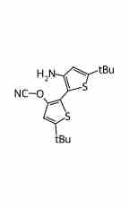 CC(C)(C)c1cc(N)c(-c2sc(C(C)(C)C)cc2OC#N)s1